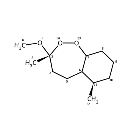 CO[C@@]1(C)CCC2C(CCC[C@H]2C)OO1